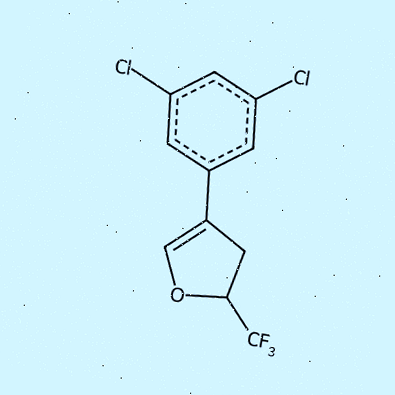 FC(F)(F)C1CC(c2cc(Cl)cc(Cl)c2)=CO1